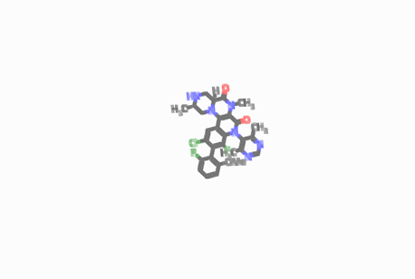 COc1cccc(F)c1-c1c(Cl)cc2c3c(c(=O)n(-c4c(C)ncnc4C)c2c1F)N(C)C(=O)[C@H]1CN[C@H](C)CN31